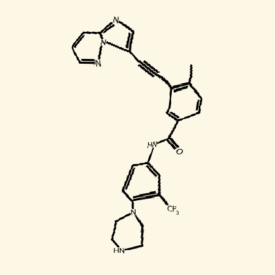 Cc1ccc(C(=O)Nc2ccc(N3CCNCC3)c(C(F)(F)F)c2)cc1C#Cc1cnc2cccnn12